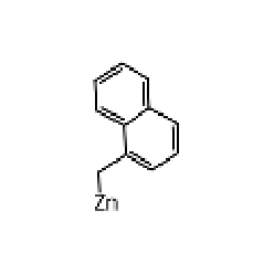 [Zn][CH2]c1cccc2ccccc12